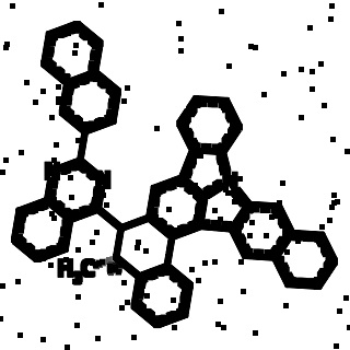 C[C@H]1c2ccccc2-c2c(cc3c4ccccc4n4c5cc6ccccc6cc5c2c34)C1c1nc(-c2ccc3ccccc3c2)nc2ccccc12